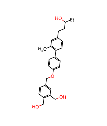 CCC(O)CCc1ccc(-c2ccc(OCc3ccc(CO)c(CO)c3)cc2)c(C)c1